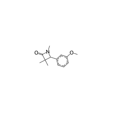 COc1cccc(C2N(C)C(=O)C2(C)C)c1